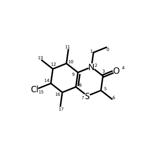 CCN1C(=O)C(C)SC2=C1C(C)C(C)C(Cl)C2C